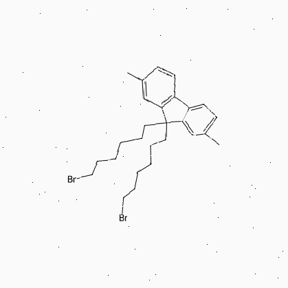 Cc1ccc2c(c1)C(CCCCCCBr)(CCCCCCBr)c1cc(C)ccc1-2